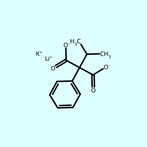 CC(C)C(C(=O)[O-])(C(=O)[O-])c1ccccc1.[K+].[Li+]